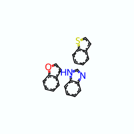 c1ccc2[nH]cnc2c1.c1ccc2occc2c1.c1ccc2sccc2c1